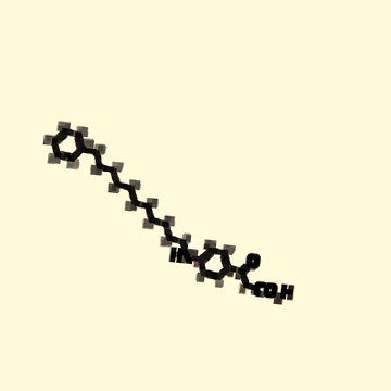 O=C(O)CC(=O)c1ccc(NCCCCCCCCCCCc2ccccc2)cc1